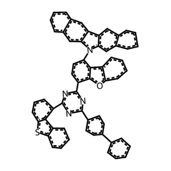 c1ccc(-c2ccc(-c3nc(-c4ccc(-n5c6cc7ccccc7cc6c6cc7ccccc7cc65)c5c4oc4ccccc45)nc(-c4cccc5sc6ccccc6c45)n3)cc2)cc1